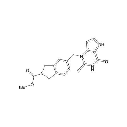 CC(C)(C)OC(=O)N1Cc2ccc(Cn3c(=S)[nH]c(=O)c4[nH]ccc43)cc2C1